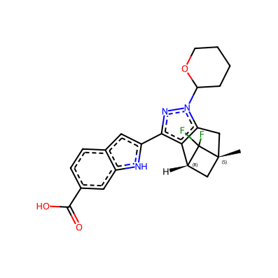 C[C@@]12Cc3c(c(-c4cc5ccc(C(=O)O)cc5[nH]4)nn3C3CCCCO3)[C@@H](C1)C2(F)F